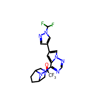 O=C(N1C2CCC1CN(c1ncnn3cc(-c4cnn(C(F)F)c4)cc13)C2)C(F)(F)F